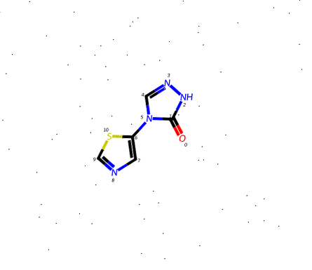 O=c1[nH]ncn1-c1cncs1